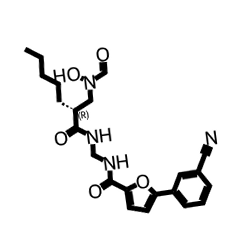 CCCCC[C@H](CN(O)C=O)C(=O)NCNC(=O)c1ccc(-c2cccc(C#N)c2)o1